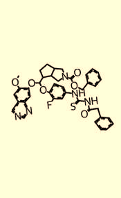 COc1cc2cncnc2cc1OC(Oc1ccc(NC(=S)NC(=O)Cc2ccccc2)cc1F)C1CCC2CN(C(=O)OCc3ccccc3)CC21